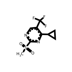 CS(=O)(=O)c1ncc(C(F)(F)F)c(C2CC2)n1